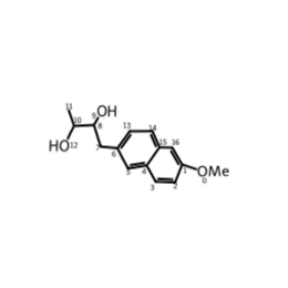 COc1ccc2cc(CC(O)C(C)O)ccc2c1